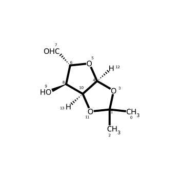 CC1(C)O[C@@H]2O[C@@H](C=O)[C@H](O)[C@@H]2O1